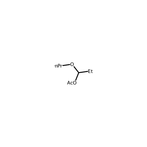 CC[CH]OC(CC)OC(C)=O